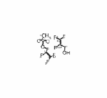 CS(=O)(=O)OCC(F)=C(F)F.OCC(F)=C(F)F